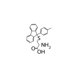 Cc1ccc(C2(SC[C@H](N)C(=O)O)c3ccccc3-c3ccccc32)cc1